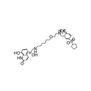 CC1C=CC(S(=O)(=O)C2CCCC2)=CC1CN(C)CCOCCCCCCNC[C@H](O)c1ccc(O)c2[nH]c(=O)ccc12